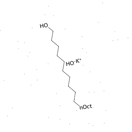 CCCCCCCCCCCCCCCCCCO.[K+].[OH-]